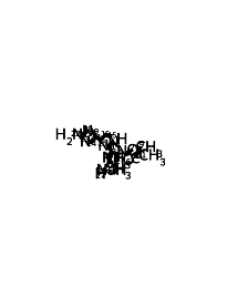 Cn1cc(NC(=O)OC(C)(C)C)c(-c2nccc(-c3cnc(N)nc3)n2)n1.[H+].[NaH]